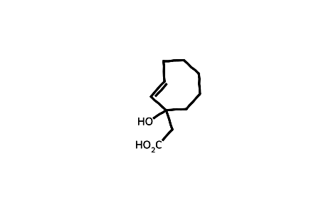 O=C(O)CC1(O)/C=C/CCCCC1